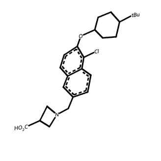 CC(C)(C)C1CCC(Oc2ccc3cc(CN4CC(C(=O)O)C4)ccc3c2Cl)CC1